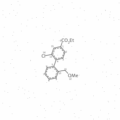 CCOC(=O)c1ccc(-c2ccccc2COC)c(Cl)c1